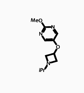 COc1ncc(OC2CN(C(C)C)C2)cn1